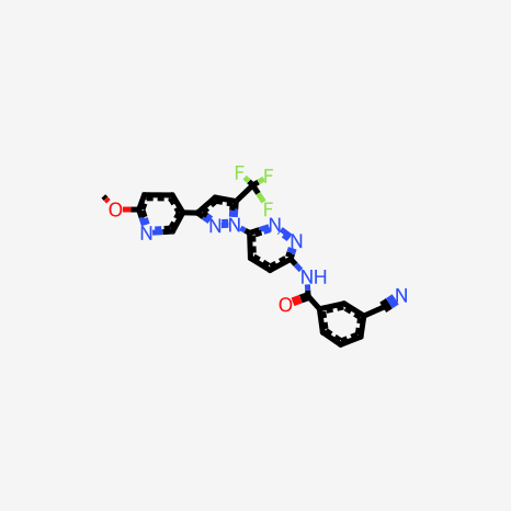 COc1ccc(-c2cc(C(F)(F)F)n(-c3ccc(NC(=O)c4cccc(C#N)c4)nn3)n2)cn1